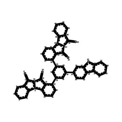 O=c1c2ccccc2n2c3cccc(-c4cc(-c5ccc6c(c5)oc5ccccc56)cc(-c5cccc6c5c(=O)n5c(=O)c7ccccc7n65)c4)c3c(=O)n12